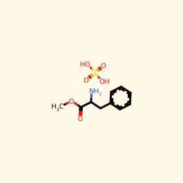 COC(=O)C(N)Cc1ccccc1.O=S(=O)(O)O